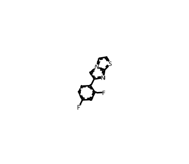 Fc1ccc(-c2cn3ccsc3n2)c(F)c1